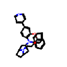 c1ccc(CCN2C3CCC2CC(N2c4ccccc4Oc4cc(-c5ccncc5)ccc42)C3)cc1